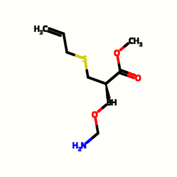 C=CCSC[C@H](BOCN)C(=O)OC